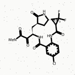 CNC(=O)C(=O)[C@H](C[C@@H]1C[C@@H](C)NC1=O)NC(=O)c1cc(Cl)ccc1NC(=O)C1CC1(F)F